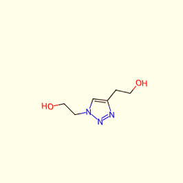 OCCc1cn(CCO)nn1